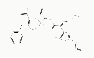 CCON=C(C(=O)NC1C(=O)N2C(C(=O)[O-])=C(C[n+]3ccccc3)CS[C@@H]12)c1nc(NC=O)sc1Cl